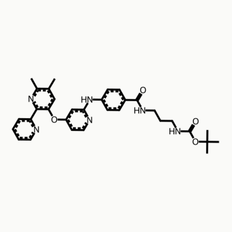 Cc1cc(Oc2ccnc(Nc3ccc(C(=O)NCCCNC(=O)OC(C)(C)C)cc3)c2)c(-c2ccccn2)nc1C